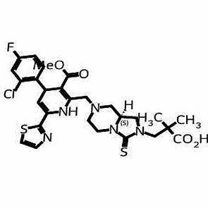 COC(=O)C1=C(CN2CCN3C(=S)N(CC(C)(C)C(=O)O)C[C@@H]3C2)NC(c2nccs2)=CC1c1ccc(F)cc1Cl